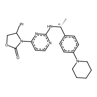 CC(C)C1COC(=O)N1c1ccnc(N[C@H](C)c2ccc(N3CCCCC3)cc2)n1